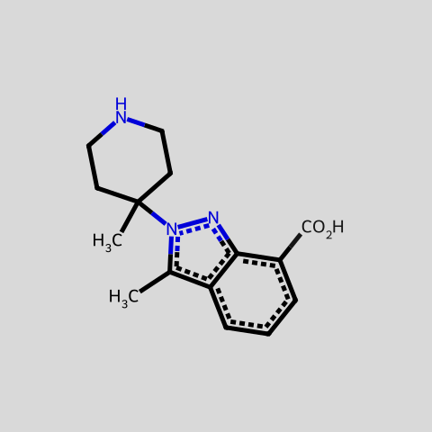 Cc1c2cccc(C(=O)O)c2nn1C1(C)CCNCC1